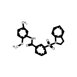 COc1ccc(C)cc1NC(=O)c1cccc(S(=O)(=O)N2CCc3ccccc32)c1